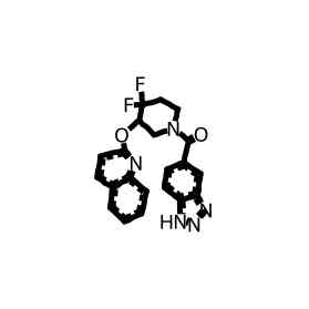 O=C(c1ccc2[nH]nnc2c1)N1CCC(F)(F)C(Oc2ccc3ccccc3n2)C1